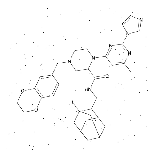 Cc1cc(N2CCN(Cc3ccc4c(c3)OCCO4)CC2C(=O)NCC2C3CC4CC(C3)CC2(I)C4)nc(-n2ccnc2)n1